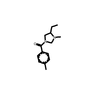 CCC1CN(C(=O)c2ccc(C)cc2)CN1C